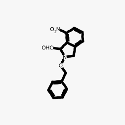 O=CC1c2c(cccc2[N+](=O)[O-])CN1OCc1ccccc1